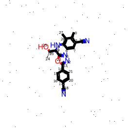 Cc1c(C#N)ccc(N[C@@H](c2nnc(-c3ccc(C#N)cc3)o2)[C@H](C)O)c1C